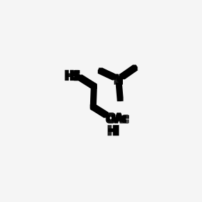 CC(=O)OCCS.CN(C)C.I